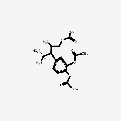 CC(C)COC(=O)Oc1ccc(C(C(C)COC(=O)C(C)(C)C)[C@H](N)C(=O)O)cc1OC(=O)OCC(C)C